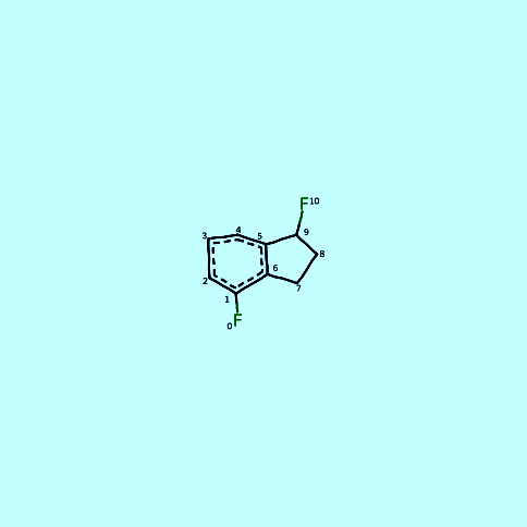 Fc1cccc2c1CCC2F